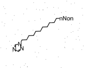 CCCCCCCCCCCCCCCCCCCCn1cncn1